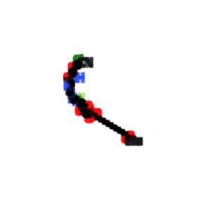 CC(C)(C)OC(=O)CCCCCCCCCCCCCCCCC(=O)OCN1C(=O)CCC(N2C(=O)c3cc(F)c(N4CCN(CC5CCN(c6ccc(C(=O)NC7CCC(Oc8ccc(C#N)c(Cl)c8)CC7)nn6)CC5)CC4)cc3C2=O)C1=O